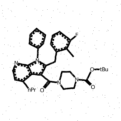 CCCc1ccnc2c1c(C(=O)N1CCN(C(=O)OC(C)(C)C)CC1)c(Cc1cccc(F)c1C)n2-c1ccccc1